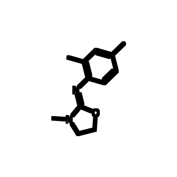 Cc1ccc(N=C2OCCN2C)c(C)c1